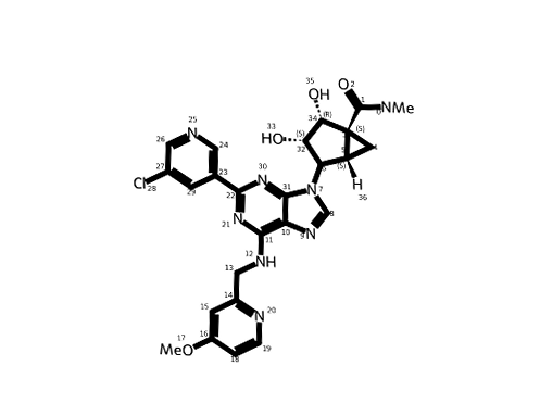 CNC(=O)[C@@]12C[C@@H]1C(n1cnc3c(NCc4cc(OC)ccn4)nc(-c4cncc(Cl)c4)nc31)[C@H](O)[C@@H]2O